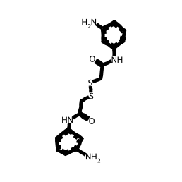 Nc1cccc(NC(=O)CSSCC(=O)Nc2cccc(N)c2)c1